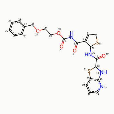 O=C(NC(=O)C1=CCSC1NC(=O)C1Nc2ncccc2S1)OCCOCc1ccccc1